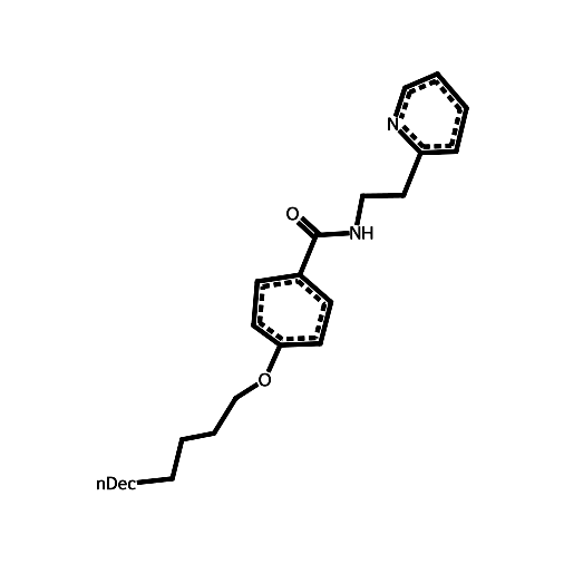 CCCCCCCCCCCCCCOc1ccc(C(=O)NCCc2ccccn2)cc1